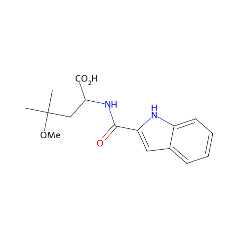 COC(C)(C)CC(NC(=O)c1cc2ccccc2[nH]1)C(=O)O